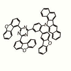 c1ccc2cc3c(cc2c1)c1ccc2ccccc2c1n3-c1ccc(-c2nc(-c3cccc4oc5ccccc5c34)nc(-c3cccc4oc5ccccc5c34)n2)cc1-c1ccc2oc3ccccc3c2c1